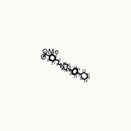 COC(=O)c1ccc(CCN2CCN(c3ccc(C4CCCCC4)cc3)CC2)cc1